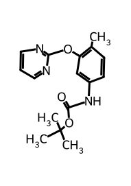 Cc1ccc(NC(=O)OC(C)(C)C)cc1Oc1ncccn1